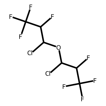 FC(C(Cl)OC(Cl)C(F)C(F)(F)F)C(F)(F)F